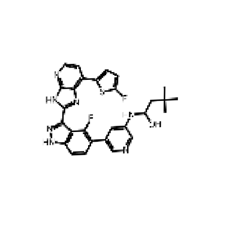 CC(C)(C)CC(O)Nc1cncc(-c2ccc3[nH]nc(-c4nc5c(-c6ccc(F)s6)ccnc5[nH]4)c3c2F)c1